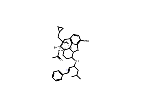 CC(=O)O[C@@]12CCC(NC(/C=C/c3ccccc3)CC(C)C)C3Oc4c(O)ccc5c4[C@@]31CCN(CC1CC1)[C@@H]2C5